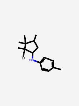 CCC1(C)C(Nc2ccc(C)cc2)CC(C)C1(C)C